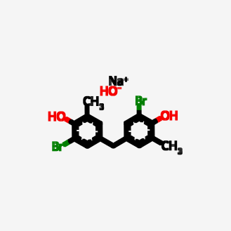 Cc1cc(Cc2cc(C)c(O)c(Br)c2)cc(Br)c1O.[Na+].[OH-]